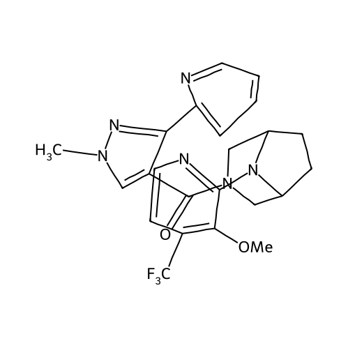 COc1c(C(F)(F)F)ccnc1N1C2CCC1CN(C(=O)c1cn(C)nc1-c1ccccn1)C2